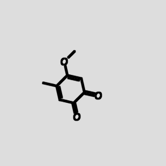 COC1=CC(=O)C(=O)C=C1C